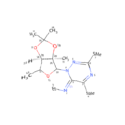 CC/N=c1/c(SC)nc(SC)nn1C1OC(C)[C@H]2OC(C)(C)O[C@@]12C